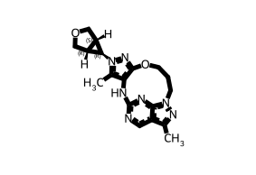 Cc1nn2c3nc(ncc13)Nc1c(nn([C@H]3[C@@H]4COC[C@@H]43)c1C)OCCC2